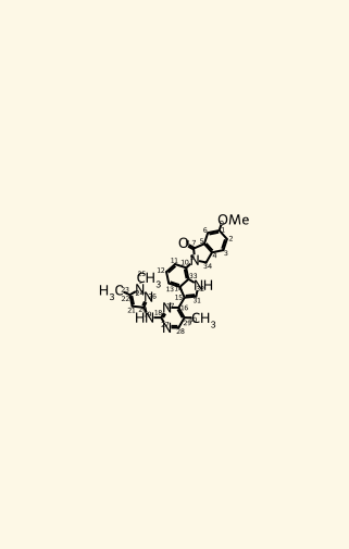 COc1ccc2c(c1)C(=O)N(c1cccc3c(-c4nc(Nc5cc(C)n(C)n5)ncc4C)c[nH]c13)C2